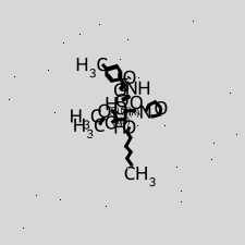 CCCCCCCO[C@@H]1[C@H]2OC(C)(C)O[C@H]2O[C@@H]1[C@@H](CN1CCOCC1)OC(=O)NS(=O)(=O)c1ccc(C)cc1